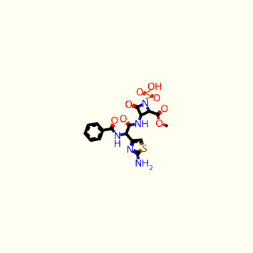 COC(=O)C1C(NC(=O)C(NC(=O)c2ccccc2)c2csc(N)n2)C(=O)N1S(=O)(=O)O